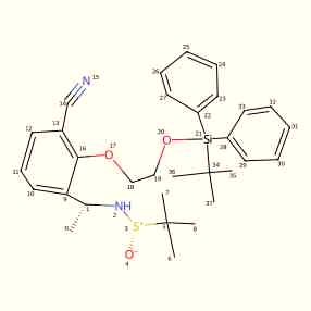 C[C@@H](N[S@@+]([O-])C(C)(C)C)c1cccc(C#N)c1OCCO[Si](c1ccccc1)(c1ccccc1)C(C)(C)C